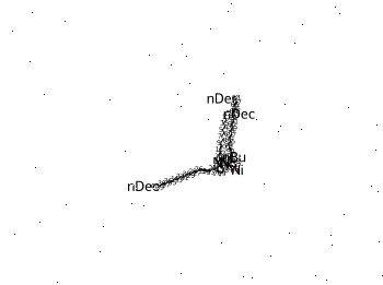 CCCCCCCCCCCCCCCCCCCCCC=CC(=Nc1ccccc1CCC#CCCCCCCCCCCCCCCCCCCCCCCCC)C(CCCC)=Nc1ccccc1CCC#CCCCCCCCCCCCCCCCCCCCCCCCC.[Ni]